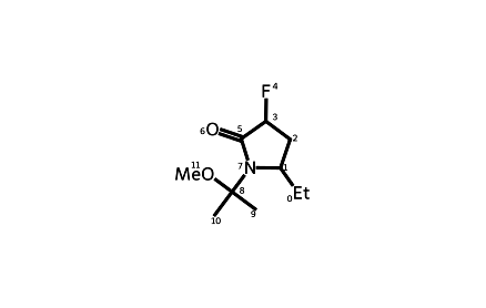 CCC1CC(F)C(=O)N1C(C)(C)OC